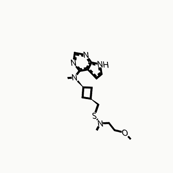 COCCN(C)SC[C@H]1C[C@@H](N(C)c2ncnc3[nH]ccc23)C1